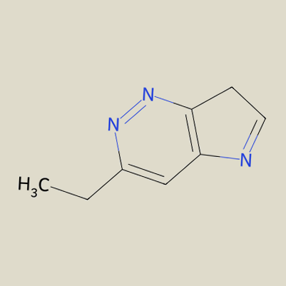 CCc1cc2c(nn1)CC=N2